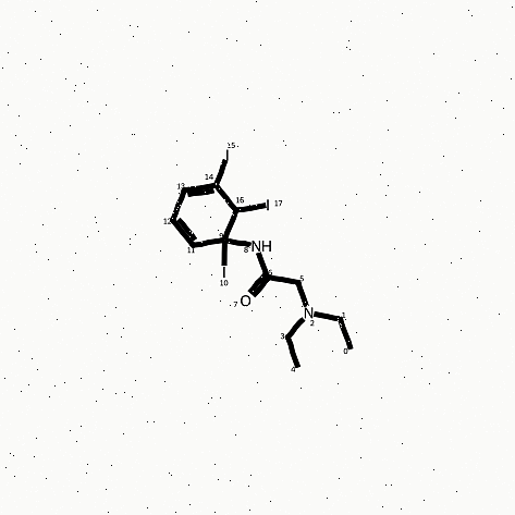 CCN(CC)CC(=O)NC1(I)C=CC=C(I)C1I